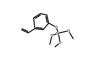 C=Cc1cccc(O[Si](OC)(OC)OC)c1